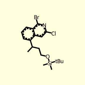 CC(CCO[Si](C)(C)C(C)(C)C)c1cccc2c(Br)nc(Cl)cc12